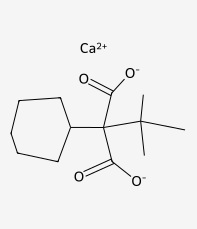 CC(C)(C)C(C(=O)[O-])(C(=O)[O-])C1CCCCC1.[Ca+2]